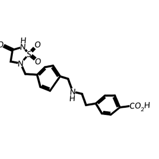 O=C1CN(Cc2ccc(CNCCc3ccc(C(=O)O)cc3)cc2)S(=O)(=O)N1